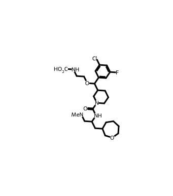 CNCC(CC1CCCCOC1)NC(=O)N1CCCC(C(OCCNC(=O)O)c2cc(F)cc(Cl)c2)C1